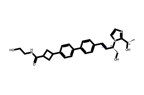 C[C@H](O)c1nccn1[C@@H](/C=C/c1ccc(-c2ccc(C3CC(C(=O)NCCO)C3)cc2)cc1)CO